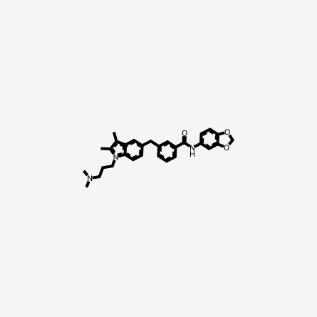 Cc1c(C)n(CCCN(C)C)c2ccc(Cc3cccc(C(=O)Nc4ccc5c(c4)OCO5)c3)cc12